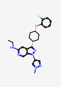 CCNc1cc2c(cn1)n(-c1cnn(C)c1)nc2[C@H]1CC[C@@H](Oc2ccccc2F)CC1